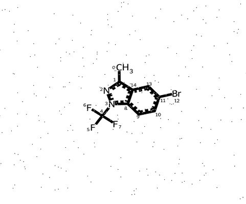 Cc1nn(C(F)(F)F)c2ccc(Br)cc12